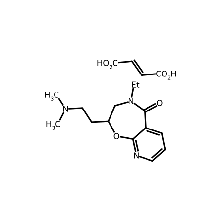 CCN1CC(CCN(C)C)Oc2ncccc2C1=O.O=C(O)C=CC(=O)O